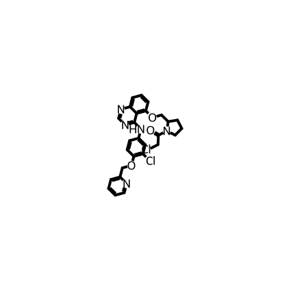 O=C(CCl)N1CCCC1COc1cccc2ncnc(Nc3ccc(OCc4ccccn4)c(Cl)c3)c12